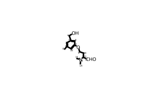 Cc1[c]c(CO)cc(OCCC(C=O)N(C)C)c1